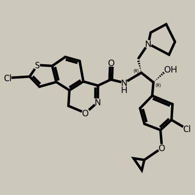 O=C(N[C@H](CN1CCCC1)[C@H](O)c1ccc(OC2CC2)c(Cl)c1)C1=NOCc2c1ccc1sc(Cl)cc21